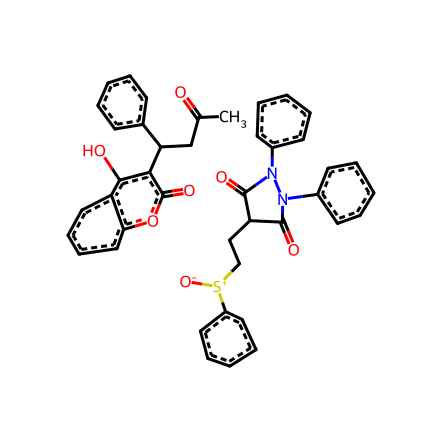 CC(=O)CC(c1ccccc1)c1c(O)c2ccccc2oc1=O.O=C1C(CC[S+]([O-])c2ccccc2)C(=O)N(c2ccccc2)N1c1ccccc1